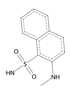 CNc1ccc2ccccc2c1S([NH])(=O)=O